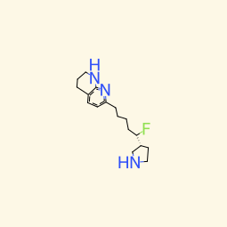 FC(CCCCc1ccc2c(n1)NCCC2)[C@@H]1CCNC1